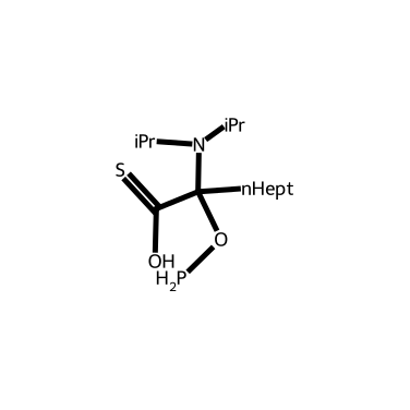 CCCCCCCC(OP)(C(O)=S)N(C(C)C)C(C)C